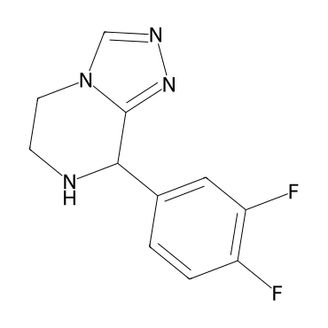 Fc1ccc(C2NCCn3cnnc32)cc1F